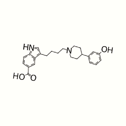 O=C(O)c1ccc2[nH]cc(CCCCN3CCC(c4cccc(O)c4)CC3)c2c1